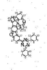 c1ccc(-c2nc(-c3ccccc3)nc(-c3ccc4oc5cc6c(cc5c4c3)C3(c4ccccc4Oc4ccccc43)c3ccccc3-6)n2)cc1